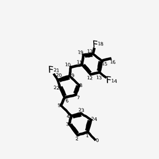 Cc1ccc(Cc2ccc(Cc3cc(F)c(C)c(F)c3)c(F)c2)cc1